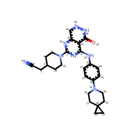 N#CCC1CCN(c2nc(Nc3ccc(N4CCC5(CC4)CC5)cc3)c3c(=O)[nH]ncc3n2)CC1